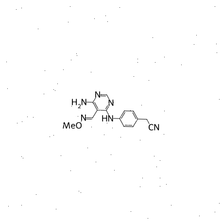 CON=Cc1c(N)ncnc1Nc1ccc(CC#N)cc1